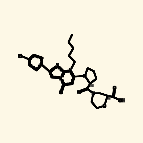 CCCCCn1c(N2CCC[C@H]2C(=O)N2CCO[C@H](C(=O)O)C2)cc(=O)n2cc(-c3ccc(Cl)cc3)nc12